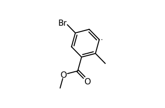 COC(=O)c1cc(Br)c[c]c1C